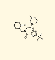 CC1CCCN(CCN(Cc2ccccc2Cl)C(=O)c2cc(C(F)(F)F)n[nH]2)C1